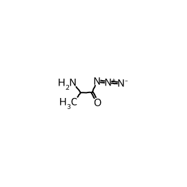 CC(N)C(=O)N=[N+]=[N-]